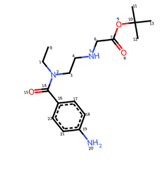 CCN(CCNCC(=O)OC(C)(C)C)C(=O)c1ccc(N)cc1